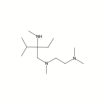 CCC(CN(C)CCN(C)C)(NC)C(C)C